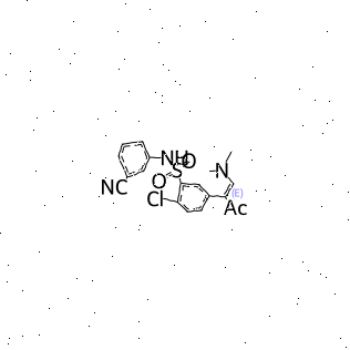 CC(=O)/C(=C/N(C)C)c1ccc(Cl)c(S(=O)(=O)Nc2cccc(C#N)c2)c1